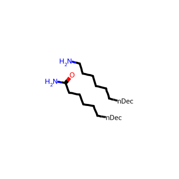 CCCCCCCCCCCCCCCC(N)=O.CCCCCCCCCCCCCCCCN